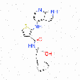 O=C(N[C@H](CO)Cc1ccccc1)c1ccsc1Nc1ccnc2[nH]ccc12